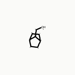 OCC1C2CCC1CC2